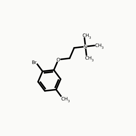 Cc1ccc(Br)c(OCC[Si](C)(C)C)c1